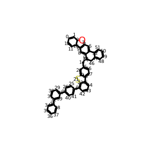 C1=CC2Oc3cc4c(cc3C2C=C1)[C@H](Cc1ccc2c(c1)sc1c(-c3ccc(-c5cccc(-c6ccccc6)c5)cc3)cccc12)Cc1ccccc1-4